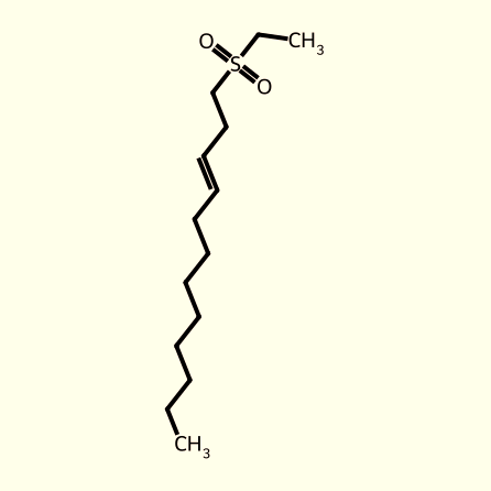 CCCCCCCCC=CCCS(=O)(=O)CC